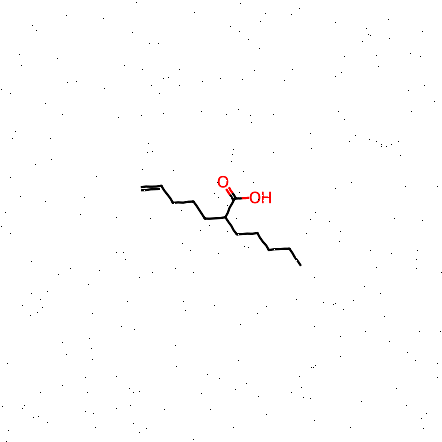 C=CCCCC(CCCCC)C(=O)O